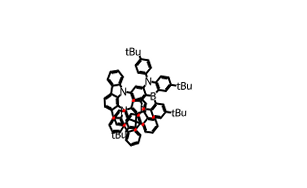 CC(C)(C)c1ccc(N2c3ccc(C(C)(C)C)cc3B3c4cc(C(C)(C)C)ccc4N(c4ccc(C(C)(C)C)cc4)c4cc(-n5c6ccccc6c6ccc7c8ccccc8n(-c8cccc9c8C8(c%10ccccc%10-c%10ccccc%108)c8ccccc8-9)c7c65)cc2c43)cc1